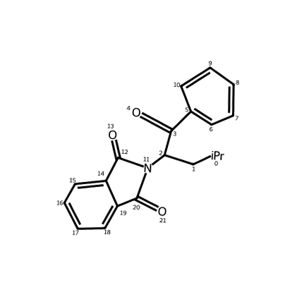 CC(C)CC(C(=O)c1ccccc1)N1C(=O)c2ccccc2C1=O